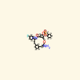 CC1(N)COCc2cc(OS(=O)(=O)Cc3ccccc3)cc(c2)C(=O)NC(c2ccc(F)cc2)CCc2cccc(c2)C1